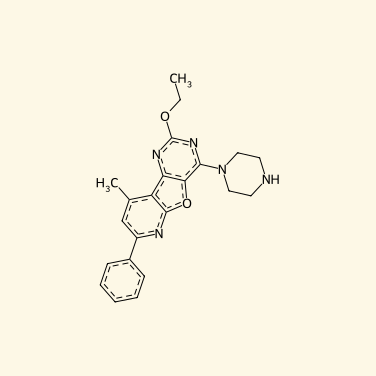 CCOc1nc(N2CCNCC2)c2oc3nc(-c4ccccc4)cc(C)c3c2n1